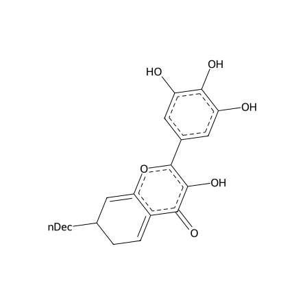 CCCCCCCCCCC1C=c2oc(-c3cc(O)c(O)c(O)c3)c(O)c(=O)c2=CC1